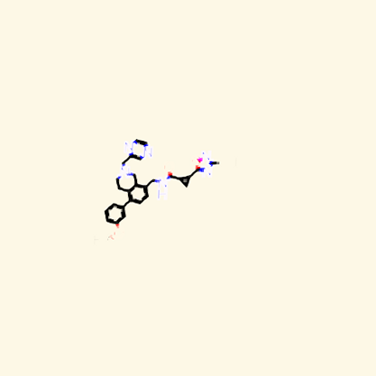 Cc1noc(C2CC2C(=O)NCc2ccc(-c3cccc(OC(F)(F)F)c3)c3c2CN(Cc2cnccn2)CC3)n1